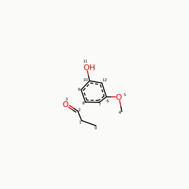 CCC=O.COc1cccc(O)c1